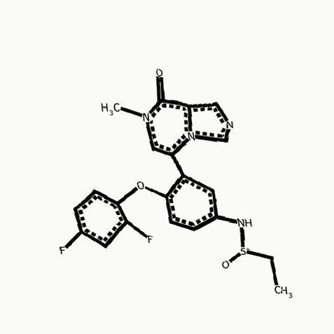 CC[S+]([O-])Nc1ccc(Oc2ccc(F)cc2F)c(-c2cn(C)c(=O)c3cncn23)c1